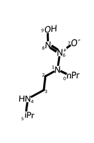 CCCN(CCNC(C)C)/[N+]([O-])=N/O